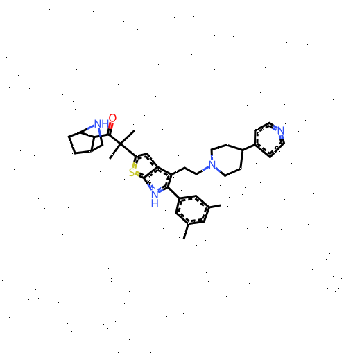 Cc1cc(C)cc(-c2[nH]c3sc(C(C)(C)C(=O)C4C5CCC4NC5)cc3c2CCN2CCC(c3ccncc3)CC2)c1